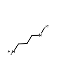 CC(C)[N]CCCN